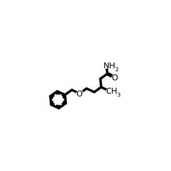 CC(CCOCc1ccccc1)CC(N)=O